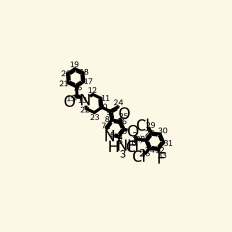 C[C@@H](Oc1c(N)ncc2c(C3=CCN(C(=O)c4ccccc4)CC3)coc12)c1c(Cl)ccc(F)c1Cl